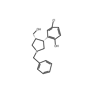 OC[C@H]1CN(Cc2ccccc2)C[C@H]1c1cc(Cl)ccc1O